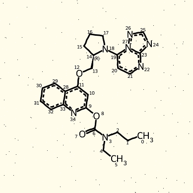 CCCN(CC)C(=O)Oc1cc(OC[C@H]2CCCN2c2ccnc3ncnn23)c2ccccc2n1